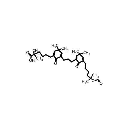 CC1(C)C=C(CCCCC(C)(C)OC=O)C(=O)C(CCCC2=CC(C)(C)C=C(CCCCC(C)(C)C(=O)O)C2=O)=C1